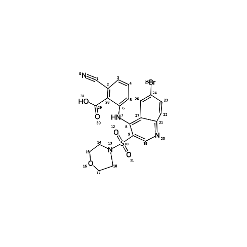 N#Cc1cccc(Nc2c(S(=O)(=O)N3CCOCC3)cnc3ccc(Br)cc23)c1C(=O)O